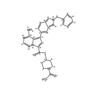 CC(=O)N1CCC(CC(=O)c2cc(-c3ccc4cn(Cc5ccccc5)nc4c3)c3c(N)ncnn23)CC1